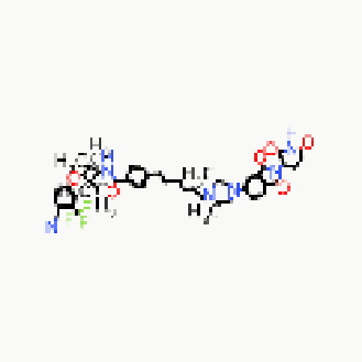 C[C@@H]1CN(c2ccc3c(c2)C(=O)N(C2CCC(=O)NC2=O)C3=O)C[C@H](C)N1CCCCCCc1ccc(C(=O)N[C@H]2C(C)(C)[C@H](Oc3ccc(C#N)c(C(F)(F)F)c3)C2(C)C)cc1